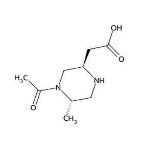 CC(=O)N1C[C@@H](CC(=O)O)NC[C@@H]1C